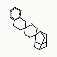 c1ccc2c(c1)CCC1(C2)OOC2(OO1)C1CC3CC(C1)CC2C3